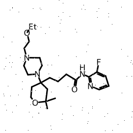 CCOCCN1CCN(C2(CCCC(=O)Nc3ncccc3F)CCOC(C)(C)C2)CC1